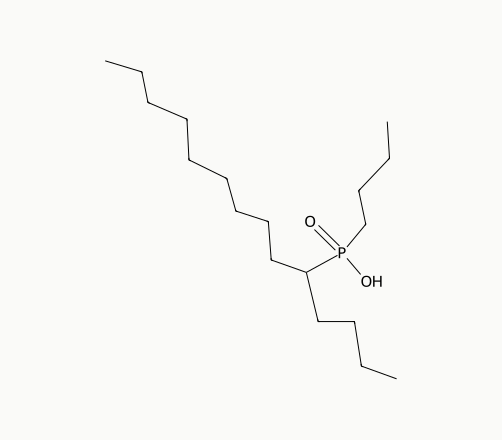 CCCCCCCCCC(CCCC)P(=O)(O)CCCC